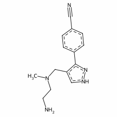 CN(CCN)Cc1c[nH]nc1-c1ccc(C#N)cc1